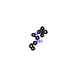 c1ccc(C2(c3ccccc3)c3ccccc3-c3ccc(-n4c5ccccc5c5cc(Nc6ccc(-c7cccc8ccccc78)cc6)ccc54)cc32)cc1